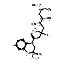 CCOC(=O)[C@@]1(C)CN(C(=O)CC(C)(C)C[C@H](N)[C@@H](O)C[C@@H](C)C(=O)O)c2ccccc2O1